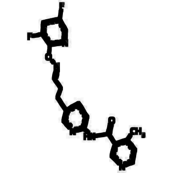 Cc1ccncc1C(=O)Nc1ccc(CC/C=N/Oc2ncc(F)cc2F)cn1